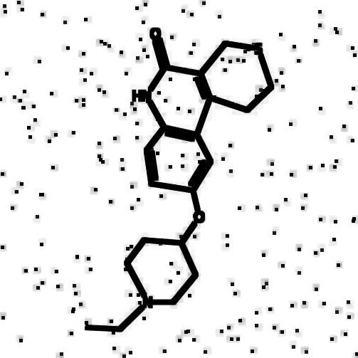 CCN1CCC(Oc2ccc3[nH]c(=O)c4c(c3c2)CCSC4)CC1